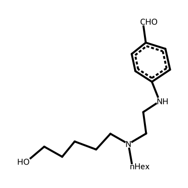 CCCCCCN(CCCCCO)CCNc1ccc(C=O)cc1